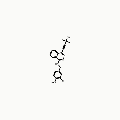 COc1ccc(CNc2nnc(C#CC(C)(C)O)c3ccccc23)cc1Cl